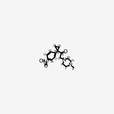 CN1CCN(CC(=O)C2(c3ccc([N+](=O)[O-])cc3)CC2)CC1